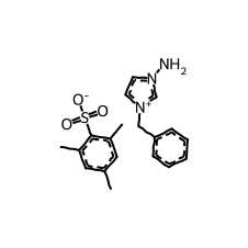 Cc1cc(C)c(S(=O)(=O)[O-])c(C)c1.Nn1cc[n+](Cc2ccccc2)c1